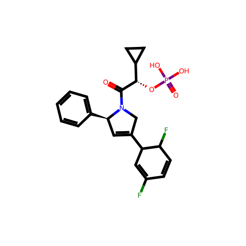 O=C([C@@H](OP(=O)(O)O)C1CC1)N1CC(C2C=C(F)C=CC2F)=C[C@H]1c1ccccc1